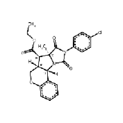 CCOC(=O)[C@@H]1[C@H]2COc3ccccc3[C@H]2N2C(=O)N(c3ccc(Cl)cc3)C(=O)[C@]12C